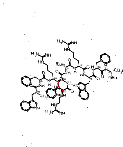 CC[C@H](C)[C@H](NC(=O)[C@H](Cc1ccccc1)NC(=O)[C@H](Cc1c[nH]c2ccccc12)NC(=O)[C@H](CCCNC(=N)N)NC(=O)[C@@H](NC(=O)[C@H](Cc1c[nH]c2ccccc12)NC(=O)[C@H](CCCNC(=N)N)NC(=O)[C@H](CCCNC(=N)N)NC(=O)[C@H](Cc1ccccc1)NC(=O)[C@@H](N)Cc1c[nH]c2ccccc12)[C@@H](C)CC)C(=O)O